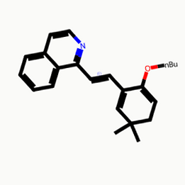 CCCCOC1=CCC(C)(C)C=C1/C=C/c1nccc2ccccc12